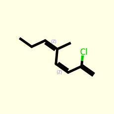 C=C(Cl)/C=C\C(C)=C/CC